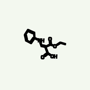 CCOC(=O)/C(=C\Nc1ccccc1)C(=O)O